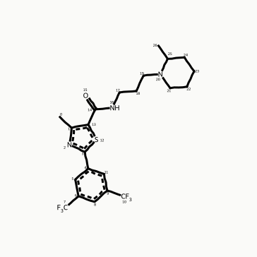 Cc1nc(-c2cc(C(F)(F)F)cc(C(F)(F)F)c2)sc1C(=O)NCCCN1CCCCC1C